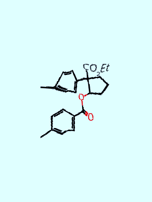 CCOC(=O)C1(c2ccc(C)cc2)CCCC1OC(=O)c1ccc(C)cc1